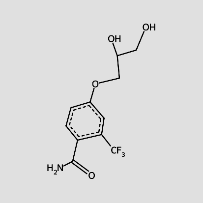 NC(=O)c1ccc(OCC(O)CO)cc1C(F)(F)F